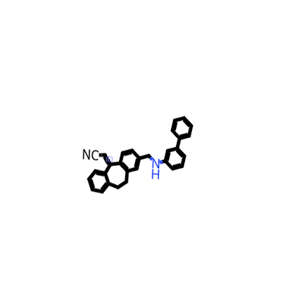 N#C/C=C1\c2ccccc2CCc2cc(CNc3cccc(-c4ccccc4)c3)ccc21